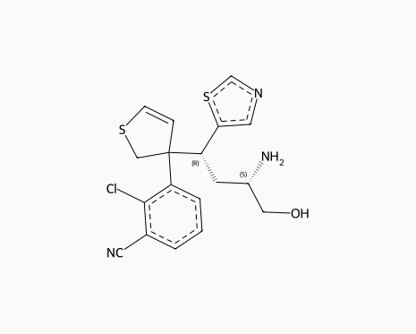 N#Cc1cccc(C2([C@@H](C[C@H](N)CO)c3cncs3)C=CSC2)c1Cl